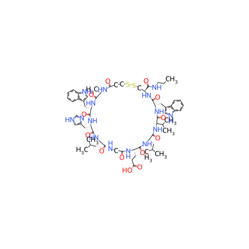 CCCNC(=O)[C@@H]1CSSCCC(=O)N[C@@H](C)C(=O)N[C@@H](Cc2c[nH]c3ccccc23)C(=O)N[C@@H](Cc2c[nH]cn2)C(=O)N[C@@H](CC(C)C)C(=O)NCC(=O)N[C@@H](CCC(=O)O)C(=O)N[C@@H](CC(C)C)C(=O)NC(C(C)C)C(=O)N[C@@H](Cc2c[nH]c3ccccc23)C(=O)N1